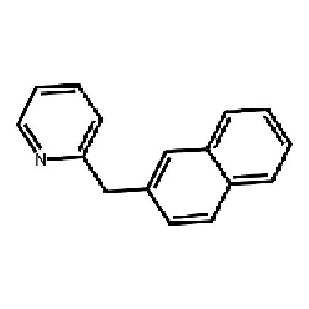 c1ccc(Cc2ccc3ccccc3c2)nc1